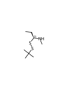 CC[C@@H](NC)SSC(C)(C)C